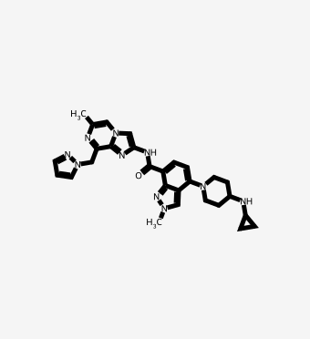 Cc1cn2cc(NC(=O)c3ccc(N4CCC(NC5CC5)CC4)c4cn(C)nc34)nc2c(Cn2cccn2)n1